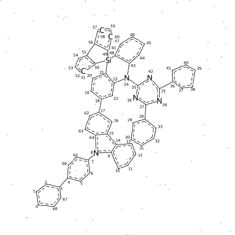 c1ccc(-c2ccc(-n3c4ccccc4c4cc(-c5ccc6c(c5)N(c5nc(-c7ccccc7)nc(-c7ccccc7)n5)c5ccccc5[Si]65c6ccccc6-c6ccccc65)ccc43)cc2)cc1